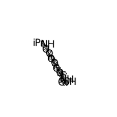 CC(C)NCCOCCOCCOCCOCCOCCOCC(F)CNC(=O)C(C)S